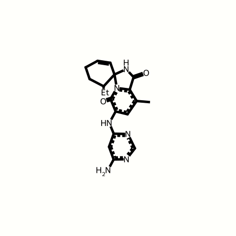 CCC1CCC=CC12NC(=O)c1c(C)cc(Nc3cc(N)ncn3)c(=O)n12